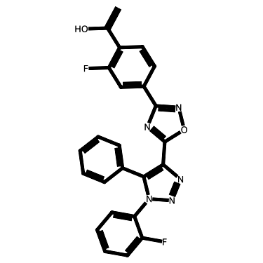 C=C(O)c1ccc(-c2noc(-c3nnn(-c4ccccc4F)c3-c3ccccc3)n2)cc1F